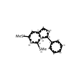 CSc1cc2cnc(-c3ccccc3)n2c(SC)n1